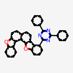 c1ccc(-c2nc(-c3ccccc3)nc(-c3cccc4oc5c(ccc6ccc7oc8ccccc8c7c65)c34)n2)cc1